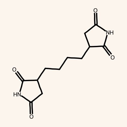 O=C1CC(CCCCC2CC(=O)NC2=O)C(=O)N1